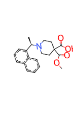 COC(=O)C1(C(=O)O)CCN([C@H](C)c2cccc3ccccc23)CC1